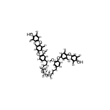 COc1cc(CCC[Si](C)(C)O[Si](C)(C)O[Si](C)(C)CCCc2ccc(Oc3cc(C)c(Oc4cc(C)c(O)c(C)c4)c(C)c3)c(OC)c2)ccc1Oc1cc(C)c(Oc2cc(C)c(O)c(C)c2)c(C)c1